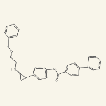 O=C(Nc1ccc(C2CC2NCCOCc2ccccc2)cc1)c1ccc(-c2ccccc2)cc1